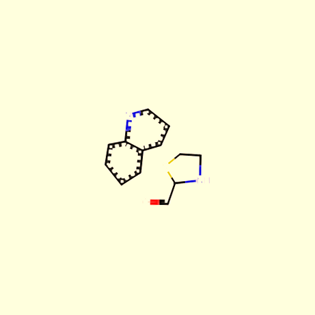 O=CC1NCCS1.c1ccc2ncccc2c1